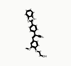 COc1cc(C=C(C#N)c2ccc(-c3nc4ccccc4o3)cc2)ccc1OCCO